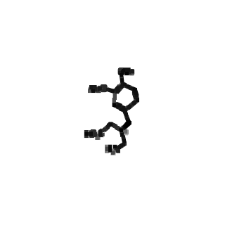 COc1ccc(C[C@@H](CN)CC(=O)O)cc1OC